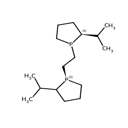 CC(C)C1CCC[P@]1CCP1CCC[C@H]1C(C)C